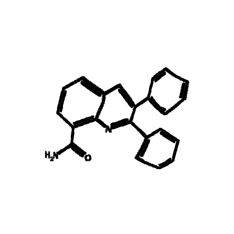 NC(=O)c1cccc2cc(-c3ccccc3)c(-c3ccccc3)nc12